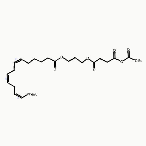 CCCCC/C=C\C/C=C\C/C=C\CCCCC(=O)OCCCOC(=O)CCC(=O)OC(=O)OCC(C)C